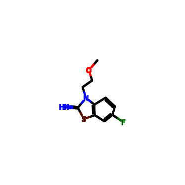 COCCn1c(=N)sc2cc(F)ccc21